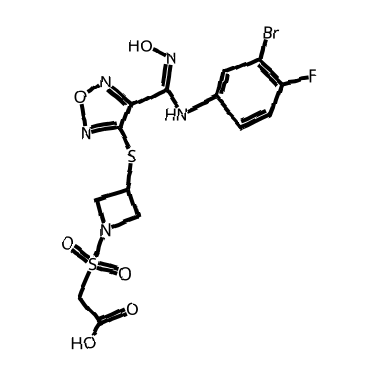 O=C(O)CS(=O)(=O)N1CC(Sc2nonc2C(=NO)Nc2ccc(F)c(Br)c2)C1